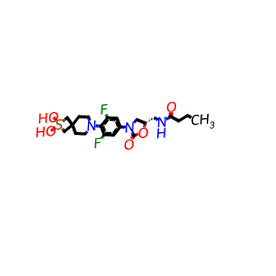 CCCC(=O)NC[C@H]1CN(c2cc(F)c(N3CCC4(CC3)CS(O)(O)C4)c(F)c2)C(=O)O1